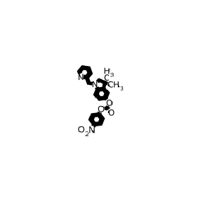 CC1(C)CN(Cc2ccccn2)c2ccc(OC(=O)Oc3ccc([N+](=O)[O-])cc3)cc21